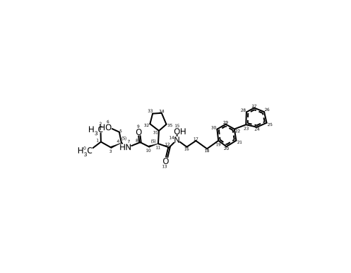 CC(C)C[C@@H](CO)NC(=O)C[C@H](C(=O)N(O)CCCc1ccc(-c2ccccc2)cc1)C1CCCC1